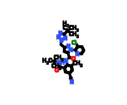 Cc1cc(C#N)cc(C(=O)NC(C)(C)C)c1NC(=O)c1cc(Cn2nnc(C(C)(C)C)n2)nn1-c1ncccc1Cl